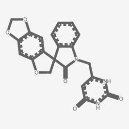 O=C1N(Cc2cc(=O)[nH]c(=O)[nH]2)c2ccccc2C12COc1cc3c(cc12)OCO3